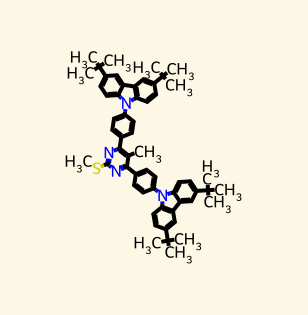 CSc1nc(-c2ccc(-n3c4ccc(C(C)(C)C)cc4c4cc(C(C)(C)C)ccc43)cc2)c(C)c(-c2ccc(-n3c4ccc(C(C)(C)C)cc4c4cc(C(C)(C)C)ccc43)cc2)n1